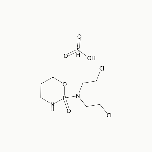 O=P1(N(CCCl)CCCl)NCCCO1.O=[SH](=O)O